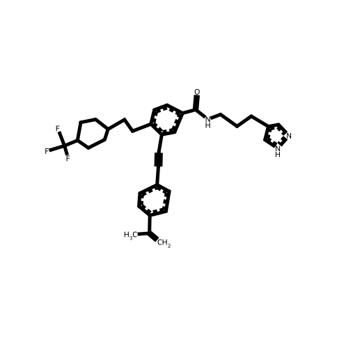 C=C(C)c1ccc(C#Cc2cc(C(=O)NCCCc3cn[nH]c3)ccc2CCC2CCC(C(F)(F)F)CC2)cc1